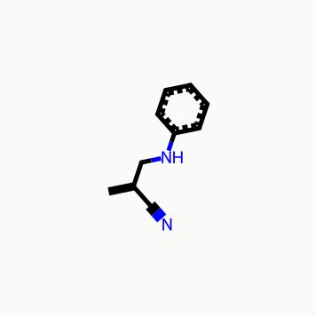 C=C(C#N)CNc1ccccc1